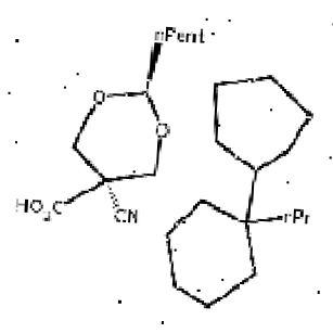 CCCC1(C2CCCCC2)CCCCC1.CCCCC[C@H]1OC[C@@](C#N)(C(=O)O)CO1